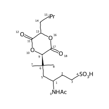 CC(=O)NC(CCS(=O)(=O)O)CC(C)(C)[C@H]1OC(=O)C(CC(C)C)OC1=O